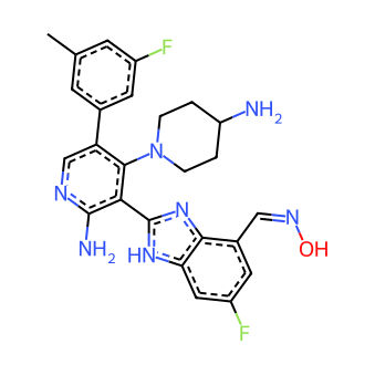 Cc1cc(F)cc(-c2cnc(N)c(-c3nc4c(/C=N\O)cc(F)cc4[nH]3)c2N2CCC(N)CC2)c1